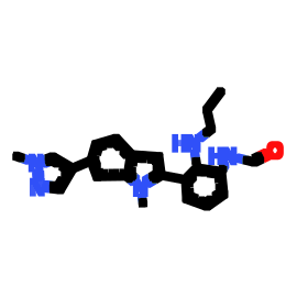 CCCNc1c(NC=O)cccc1-c1cc2ccc(-c3cnn(C)c3)cc2n1C